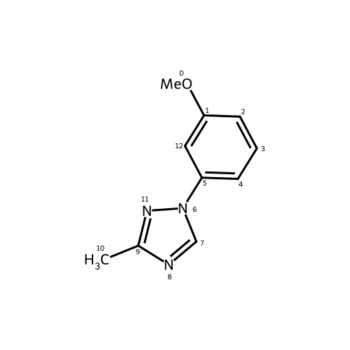 COc1cccc(-n2cnc(C)n2)c1